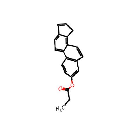 CCC(=O)Oc1ccc2c(ccc3c4c(ccc32)C=CC4)c1